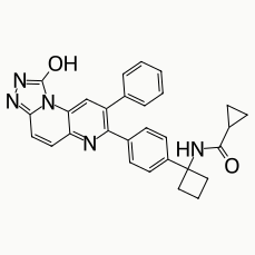 O=C(NC1(c2ccc(-c3nc4ccc5nnc(O)n5c4cc3-c3ccccc3)cc2)CCC1)C1CC1